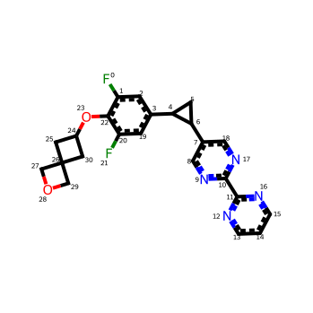 Fc1cc(C2CC2c2cnc(-c3ncccn3)nc2)cc(F)c1OC1CC2(COC2)C1